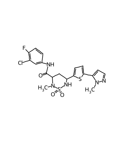 CN1C(C(=O)Nc2ccc(F)c(Cl)c2)CC(c2ccc(-c3ccnn3C)s2)NS1(=O)=O